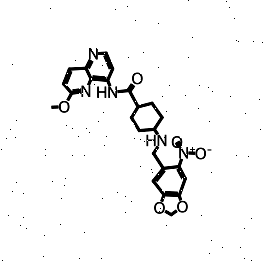 COc1ccc2nccc(NC(=O)C3CCC(NCc4cc5c(cc4[N+](=O)[O-])OCO5)CC3)c2n1